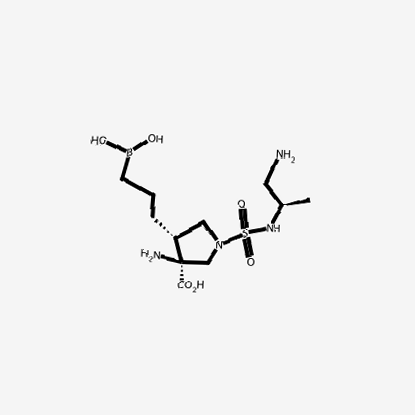 C[C@H](CN)NS(=O)(=O)N1C[C@@H](CCCB(O)O)[C@@](N)(C(=O)O)C1